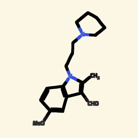 COc1ccc2c(c1)c(C=O)c(C)n2CCCN1CCCCC1